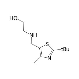 Cc1nc(C(C)(C)C)sc1CNCCO